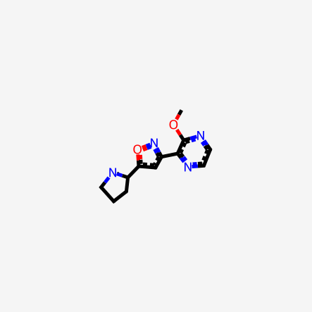 COc1nccnc1-c1cc(C2CCC[N]2)on1